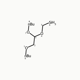 CCCCOCC(OC[SiH3])OCCCC